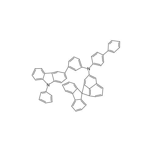 c1ccc(-c2ccc(N(c3cccc(-c4ccc5c(c4)c4ccccc4n5-c4ccccc4)c3)c3cc4c5c(cccc5c3)C43c4ccccc4-c4ccccc43)cc2)cc1